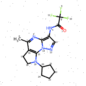 Cc1nc2c(NC(=O)C(F)(F)F)cnn2c2c1CCN2C1CCCC1